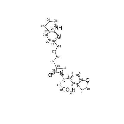 O=C(O)C[C@@H](c1ccc2c(c1)CCO2)N1CC(CCCCc2ccc3c(n2)NCCC3)C1=O